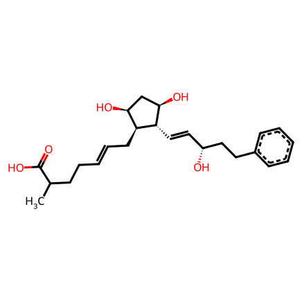 CC(CCC=CC[C@@H]1[C@@H](C=C[C@@H](O)CCc2ccccc2)[C@H](O)C[C@@H]1O)C(=O)O